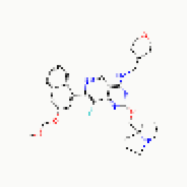 COCOc1cc(-c2ncc3c(NCC4CCOCC4)nc(OCC45CCCN4CCC5)nc3c2F)c2ccccc2c1